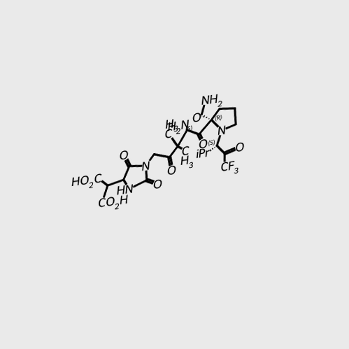 CC(C)[C@@H](C(=O)C(F)(F)F)N1CCC[C@]1(C(N)=O)C(=O)[C@@H](N)C(C)(C)C(=O)CN1C(=O)NC(C(C(=O)O)C(=O)O)C1=O